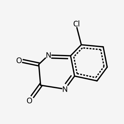 O=C1N=c2cccc(Cl)c2=NC1=O